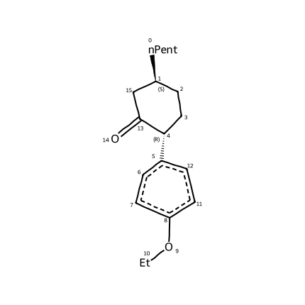 CCCCC[C@H]1CC[C@H](c2ccc(OCC)cc2)C(=O)C1